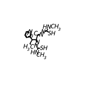 CCC(C(=N\N=C(/S)NC)/C(C)=N/N=C(\S)NC)c1cccnc1